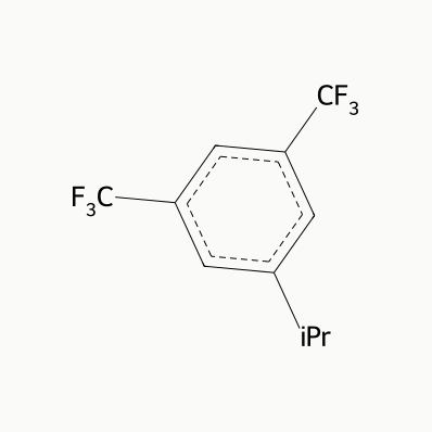 CC(C)c1cc(C(F)(F)F)cc(C(F)(F)F)c1